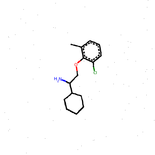 Cc1cccc(Cl)c1OCC(N)C1CCCCC1